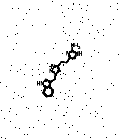 Nc1nc(CCc2cn(Cc3c[nH]c4ccccc34)nn2)c[nH]1